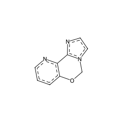 c1cnc2c(c1)OCn1ccnc1-2